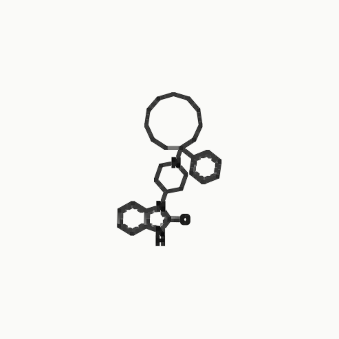 O=c1[nH]c2ccccc2n1C1CCN(C2(c3ccccc3)CCCCCCCCCC2)CC1